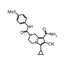 CSc1ccc(NC(=O)N2CCn3c(c(C(N)=O)c(C#N)c3C3CC3)C2)cc1